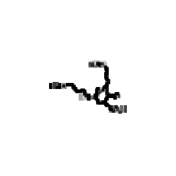 CCCCCCCCCCCCCNC(=O)CC(C(=O)OCCCCCCCCCCCCC)S(=O)(=O)O